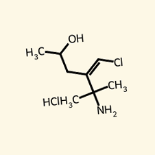 CC(O)CC(=CCl)C(C)(C)N.Cl